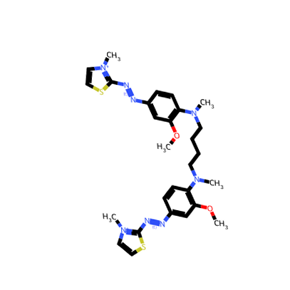 COc1cc(/N=N/c2scc[n+]2C)ccc1N(C)CCCCN(C)c1ccc(/N=N/c2scc[n+]2C)cc1OC